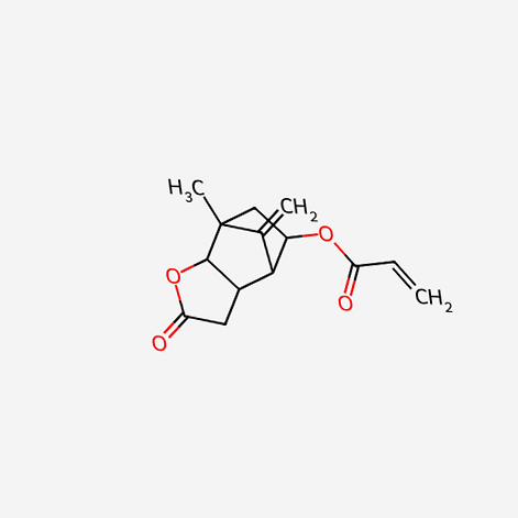 C=CC(=O)OC1CC2(C)C(=C)C1C1CC(=O)OC12